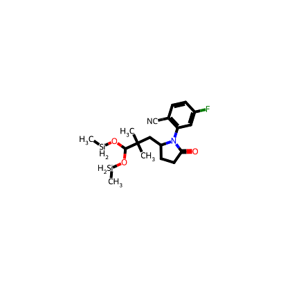 C[SiH2]OC(O[SiH2]C)C(C)(C)CC1CCC(=O)N1c1cc(F)ccc1C#N